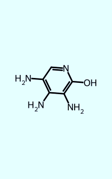 Nc1cnc(O)c(N)c1N